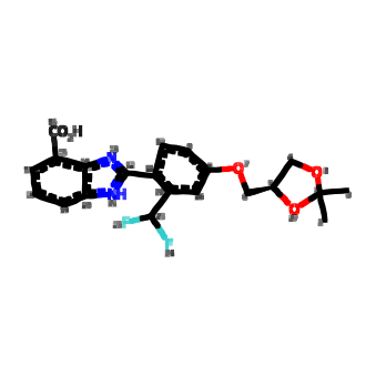 CC1(C)OC[C@H](COc2ccc(-c3nc4c(C(=O)O)cccc4[nH]3)c(C(F)F)c2)O1